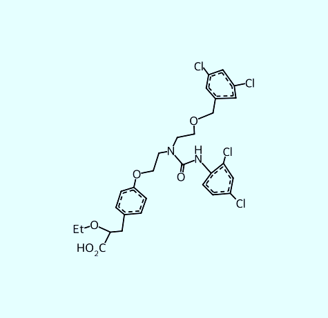 CCOC(Cc1ccc(OCCN(CCOCc2cc(Cl)cc(Cl)c2)C(=O)Nc2ccc(Cl)cc2Cl)cc1)C(=O)O